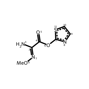 CON=C(N)C(=O)Oc1nccs1